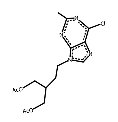 CC(=O)OCC(CCn1cnc2c(Cl)nc(C)nc21)COC(C)=O